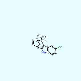 CCOC(=O)[C@@]1(C)c2c([nH]c3ccc(Cl)cc23)C2C=C[C@@H]1C2